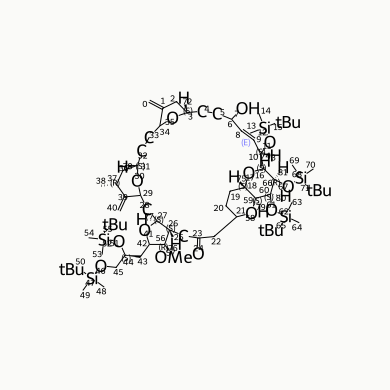 C=C1C[C@@H]2CCC(O)/C=C/[C@H](O[Si](C)(C)C(C)(C)C)[C@@H]3O[C@H]4CCC(CC(=O)C[C@H]5[C@H](CC6O[C@@H](CCC1O2)C[C@@H](C)C6=C)OC(C[C@@H](CO[Si](C)(C)C(C)(C)C)O[Si](C)(C)C(C)(C)C)[C@@H]5OC)O[C@@H]4[C@H](O[Si](C)(C)C(C)(C)C)[C@@H]3O[Si](C)(C)C(C)(C)C